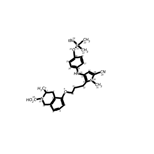 CC1Cc2c(cccc2OCCCc2c(Nc3ccc(O[Si](C)(C)C(C)(C)C)cc3)cc(C#N)n2C)CN1C(=O)O